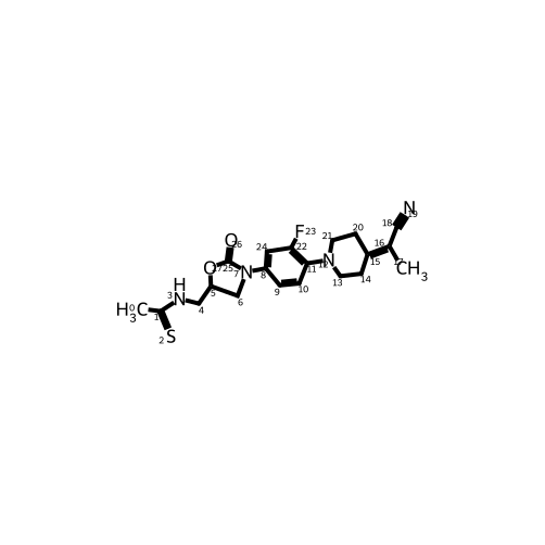 CC(=S)NCC1CN(c2ccc(N3CCC(=C(C)C#N)CC3)c(F)c2)C(=O)O1